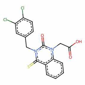 O=C(O)Cn1c(=O)n(Cc2ccc(Cl)c(Cl)c2)c(=S)c2ccccc21